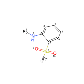 CCNc1ccccc1S(=O)(=O)C(C)C